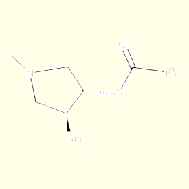 CC(C)C(=O)O[C@H]1CN(C)C[C@@H]1N